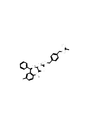 CC(=N)NCc1ccc(CNC(=S)NC2N=C(c3ccccc3)c3cc(Cl)ccc3N(C)C2=O)cc1